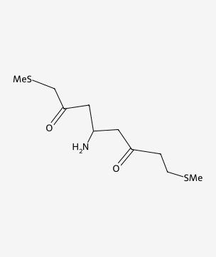 CSCCC(=O)CC(N)CC(=O)CSC